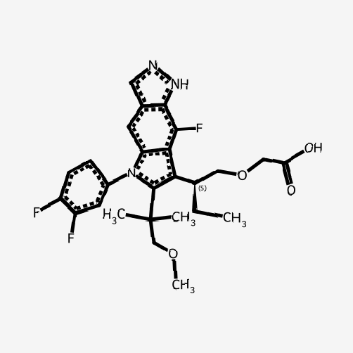 CC[C@H](COCC(=O)O)c1c(C(C)(C)COC)n(-c2ccc(F)c(F)c2)c2cc3cn[nH]c3c(F)c12